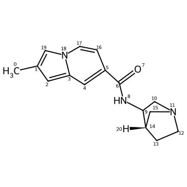 Cc1cc2cc(C(=O)NC3CN4CC[C@H]3C4)ccn2c1